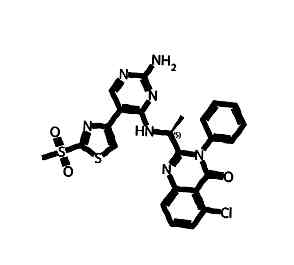 C[C@H](Nc1nc(N)ncc1-c1csc(S(C)(=O)=O)n1)c1nc2cccc(Cl)c2c(=O)n1-c1ccccc1